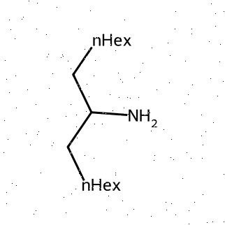 CCCCCCCC(N)CCCCCCC